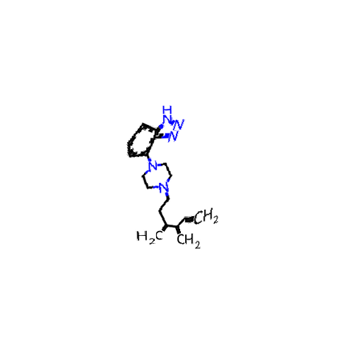 C=CC(=C)C(=C)CCN1CCN(c2cccc3[nH]nnc23)CC1